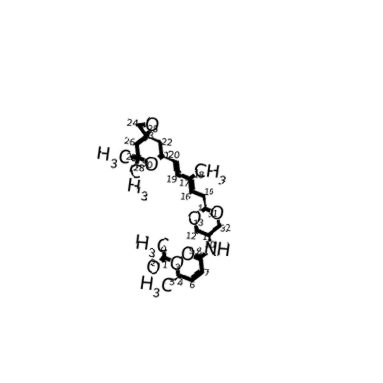 CC(=O)O[C@@H](C)/C=C\C(=O)N[C@H]1CO[C@@H](C/C=C(C)/C=C/[C@@H]2C[C@]3(CO3)CC(C)(C)O2)OC1